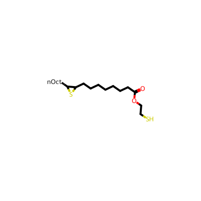 CCCCCCCCC1SC1CCCCCCCC(=O)OCCS